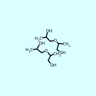 CC(O)COC(C)CO.CC(O)COC(C)CO